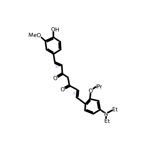 CCN(CC)c1ccc(/C=C/C(=O)CC(=O)/C=C/c2ccc(O)c(OC)c2)c(OC(C)C)c1